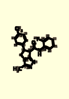 Cc1nnc2n1CC(c1ccc(C(F)(F)F)cc1)C2C(=O)Nc1ccccc1F